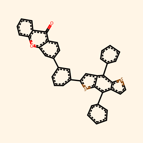 O=c1c2ccccc2oc2cc(-c3cccc(-c4cc5c(-c6ccccc6)c6sccc6c(-c6ccccc6)c5s4)c3)ccc12